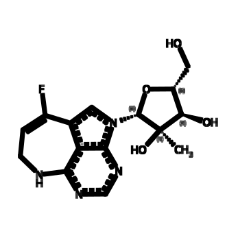 C[C@@]1(O)[C@H](O)[C@@H](CO)O[C@H]1n1cc2c3c(ncnc31)NCC=C2F